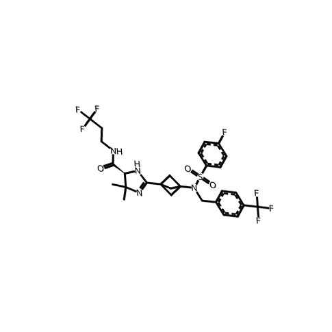 CC1(C)N=C(C23CC(N(Cc4ccc(C(F)(F)F)cc4)S(=O)(=O)c4ccc(F)cc4)(C2)C3)N[C@@H]1C(=O)NCCC(F)(F)F